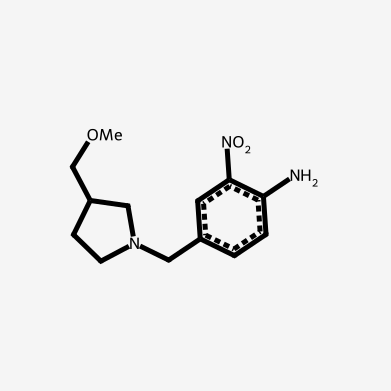 COCC1CCN(Cc2ccc(N)c([N+](=O)[O-])c2)C1